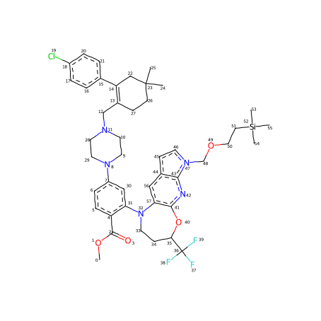 COC(=O)c1ccc(N2CCN(CC3=C(c4ccc(Cl)cc4)CC(C)(C)CC3)CC2)cc1N1CCC(C(F)(F)F)Oc2nc3c(ccn3COCC[Si](C)(C)C)cc21